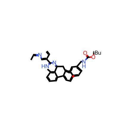 C=C/C(=C\N=C/C)C(=N)/N=C(/CCc1cccc(CNC(=O)OC(C)(C)C)c1)c1c(C)cccc1-c1ccccc1